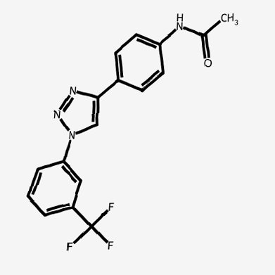 CC(=O)Nc1ccc(-c2cn(-c3cccc(C(F)(F)F)c3)nn2)cc1